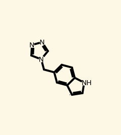 [c]1c[nH]c2ccc(Cn3cnnc3)cc12